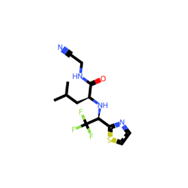 CC(C)C[C@H](N[C@@H](c1nccs1)C(F)(F)F)C(=O)NCC#N